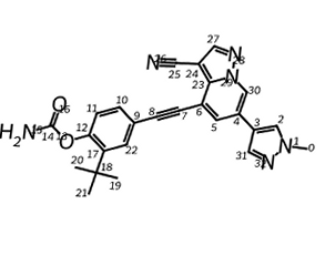 Cn1cc(-c2cc(C#Cc3ccc(OC(N)=O)c(C(C)(C)C)c3)c3c(C#N)cnn3c2)cn1